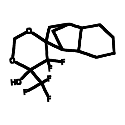 OC1(C(F)(F)F)OCOC2(CC3CC2C2CCCCC32)C1(F)F